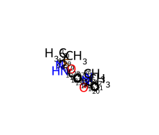 CC(C)c1cnc(NC(=O)Cc2ccc(N(C(=O)c3ccccc3)N(C)C)cc2)s1